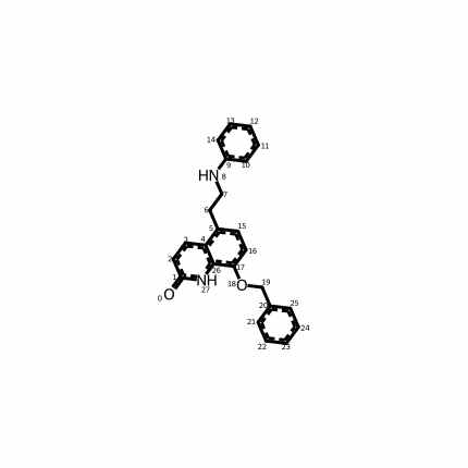 O=c1ccc2c(CCNc3ccccc3)ccc(OCc3ccccc3)c2[nH]1